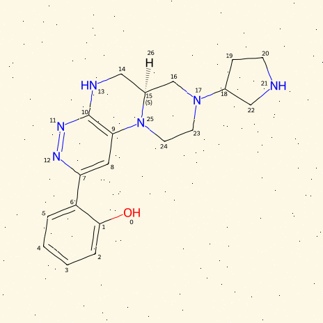 Oc1ccccc1-c1cc2c(nn1)NC[C@H]1CN(C3CCNC3)CCN21